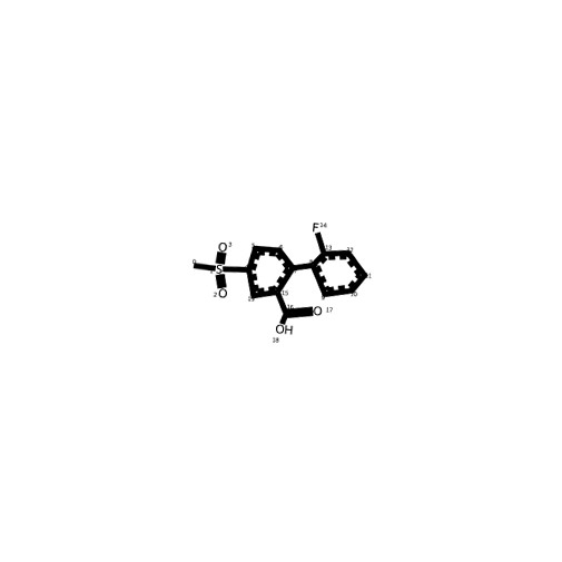 CS(=O)(=O)c1ccc(-c2ccccc2F)c(C(=O)O)c1